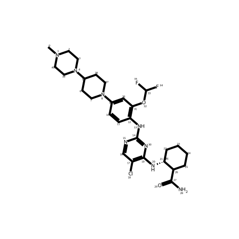 CN1CCN(C2CCN(c3ccc(Nc4ncc(Cl)c(N[C@@H]5CCCCC5C(N)=O)n4)c(OC(F)F)c3)CC2)CC1